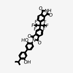 CC(C)c1ccc(-c2ccc(N3C(=O)c4ccc(C(c5ccc6c(c5)C(=O)NC6=O)(C(F)(F)F)C(F)(F)F)cc4C3=O)c(O)c2)cc1O